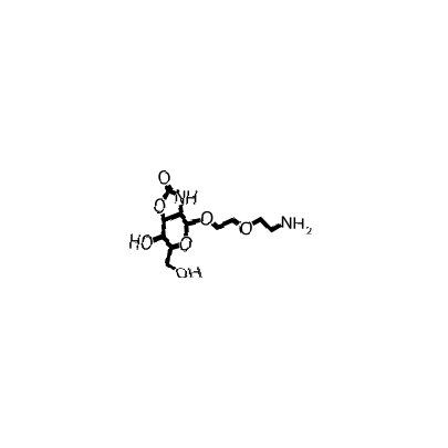 NCCOCCOC1OC(CO)C(O)C2OC(=O)NC12